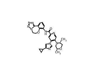 C[C@H]1CN(c2cnc(C(=O)Nc3cccc4c3OCCn3nnnc3-4)cc2-n2cnc(C3CC3)c2)[C@@H](C)CO1